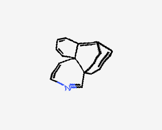 C1=CC2=C3C=CC4(C=NC=CC24C=C1)CC3